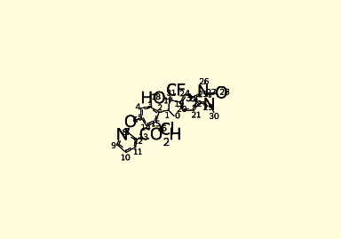 CC(c1ccc(Oc2ncccc2C(=O)O)cc1Cl)C(O)(c1ccc2c(c1)n(C)c(=O)n2C)C(F)(F)F